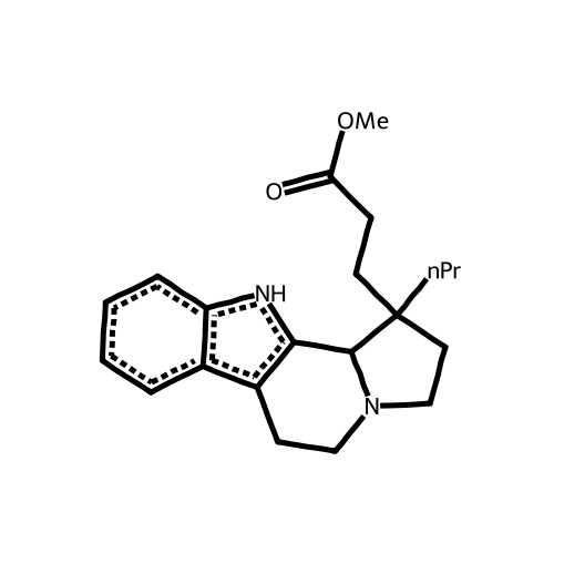 CCCC1(CCC(=O)OC)CCN2CCc3c([nH]c4ccccc34)C21